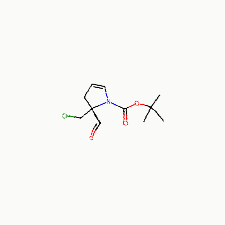 CC(C)(C)OC(=O)N1C=CCC1(C=O)CCl